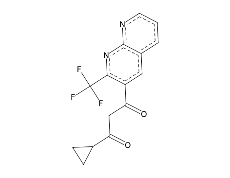 O=C(CC(=O)C1CC1)c1cc2cccnc2nc1C(F)(F)F